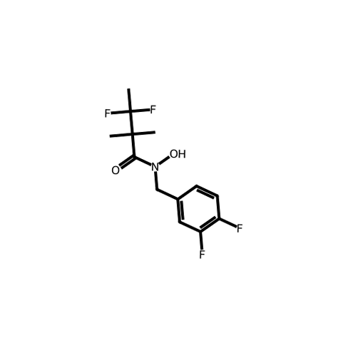 CC(F)(F)C(C)(C)C(=O)N(O)Cc1ccc(F)c(F)c1